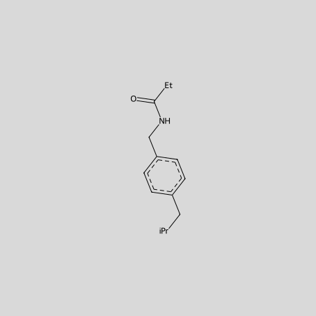 CCC(=O)NCc1ccc(CC(C)C)cc1